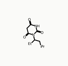 CCC(CC(C)C)N1C(=O)CC(=O)NC1=O